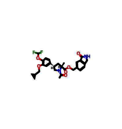 CC(=O)N1C[C@H](c2ccc(OC(F)F)c(OCC3CC3)c2)C[C@]1(C)C(=O)OCc1ccc2c(c1)C(=O)NC2